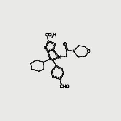 O=Cc1ccc(-c2c(C3CCCCC3)c3sc(C(=O)O)cc3n2CC(=O)N2CCOCC2)cc1